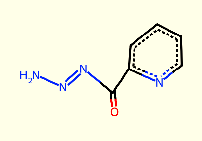 NN=NC(=O)c1ccccn1